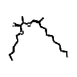 CCC=CCCOC(=O)C(C)OC=C(C)CCCCCCCCC